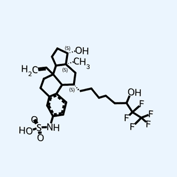 C=CC12CCc3cc(NS(=O)(=O)O)ccc3C1[C@@H](CCCCCC(O)C(F)(F)C(F)(F)F)C[C@@]1(C)C2CC[C@@H]1O